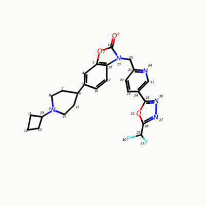 O=c1oc2cc(C3CCN(C4CCC4)CC3)ccc2n1Cc1ccc(-c2nnc(C(F)F)o2)cn1